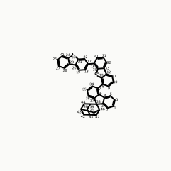 c1ccc2c(c1)-c1c(-c3cccc4c3sc3c(-c5ccc6c(c5)sc5ccccc56)cccc34)cccc1C21C2CC3CC(C2)CC1C3